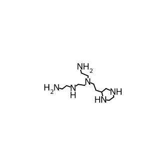 NCCNCCN(CCN)CCC1CNCCN1